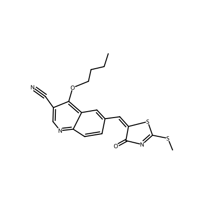 CCCCOc1c(C#N)cnc2ccc(C=C3SC(SC)=NC3=O)cc12